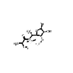 [3H][C@@H]1O[C@](CC)([C@H](C)OC(=O)C(C)C)[C@@H](OC)[C@@H]1O